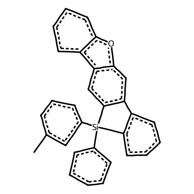 Cc1cccc([Si]2(c3ccccc3)c3ccccc3-c3cc4oc5ccccc5c4cc32)c1